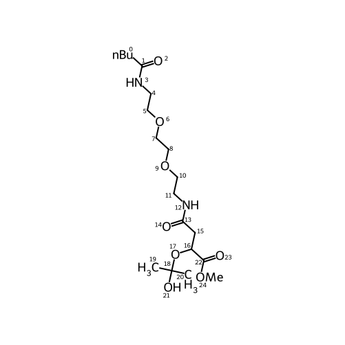 CCCCC(=O)NCCOCCOCCNC(=O)CC(OC(C)(C)O)C(=O)OC